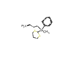 C=CCC[Si](C)(c1ccccc1)C1SCCCS1